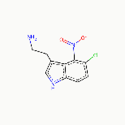 NCCc1c[nH]c2ccc(Cl)c([N+](=O)[O-])c12